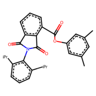 Cc1cc(C)cc(OC(=O)c2cccc3c2C(=O)N(c2c(C(C)C)cccc2C(C)C)C3=O)c1